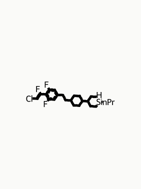 CCC[SiH]1CCC(C2CCC(CCc3cc(F)c(C(F)=CCl)c(F)c3)CC2)CC1